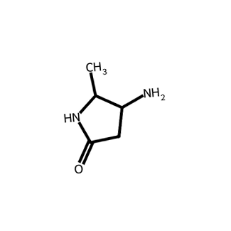 CC1NC(=O)CC1N